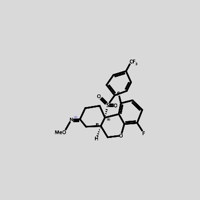 CO/N=C1/CC[C@@]2(S(=O)(=O)c3ccc(C(F)(F)F)cc3)c3c(F)ccc(F)c3OC[C@H]2C1